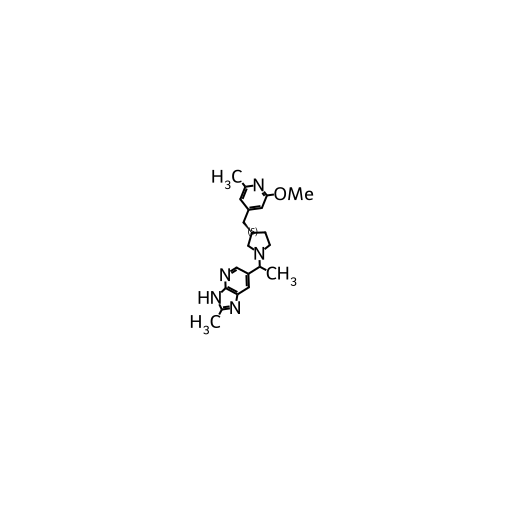 COc1cc(C[C@H]2CCN(C(C)c3cnc4[nH]c(C)nc4c3)C2)cc(C)n1